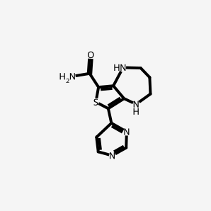 NC(=O)c1sc(-c2ccncn2)c2c1NCCCN2